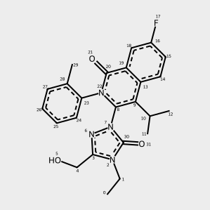 CCn1c(CO)nn(-c2c(C(C)C)c3ccc(F)cc3c(=O)n2-c2ccccc2C)c1=O